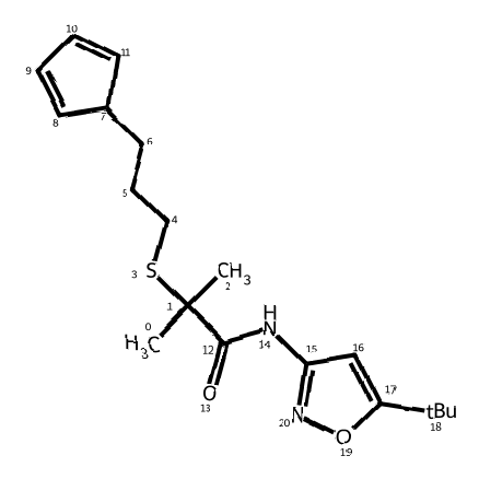 CC(C)(SCCCC1C=CC=C1)C(=O)Nc1cc(C(C)(C)C)on1